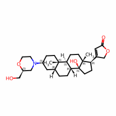 C[C@]12CC[C@H](N3CCO[C@H](CO)C3)C[C@H]1CC[C@@H]1[C@@H]2CC[C@]2(C)[C@@H](C3=CC(=O)OC3)CC[C@]12O